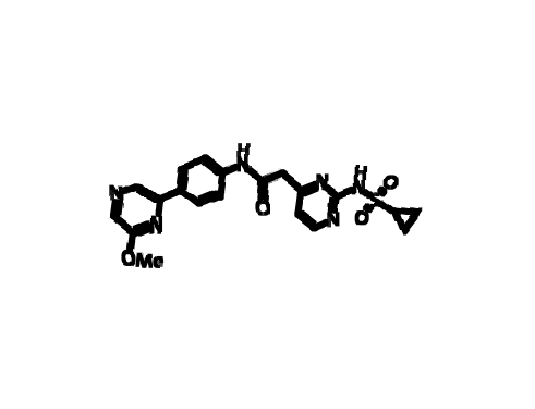 COc1cncc(-c2ccc(NC(=O)Cc3ccnc(NS(=O)(=O)C4CC4)n3)cc2)n1